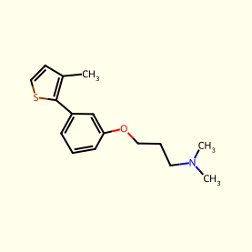 Cc1ccsc1-c1cccc(OCCCN(C)C)c1